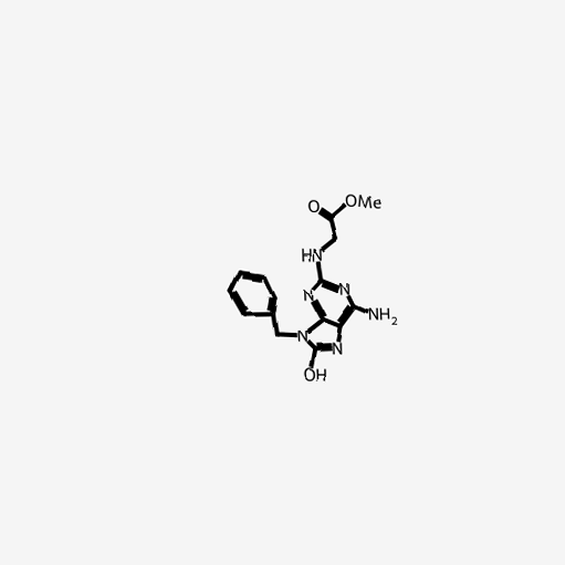 COC(=O)CNc1nc(N)c2nc(O)n(Cc3ccccc3)c2n1